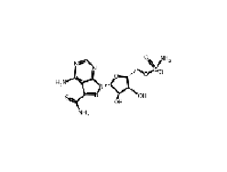 NC(=S)c1nn([C@@H]2O[C@H](COS(N)(=O)=O)[C@@H](O)[C@H]2O)c2ncnc(N)c12